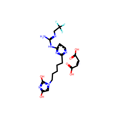 NC(=NCC(F)(F)F)Nc1ccnc(CCCCCn2cc(O)nc2O)n1.O=C(O)/C=C\C(=O)O